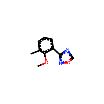 COc1c(C)cccc1-c1ncon1